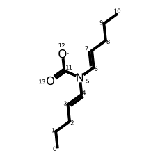 CCCC=CN(C=CCCC)C([O])=O